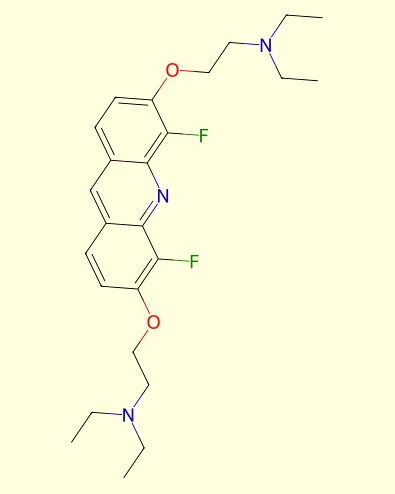 CCN(CC)CCOc1ccc2cc3ccc(OCCN(CC)CC)c(F)c3nc2c1F